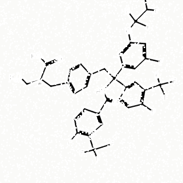 CC[C@H](Cc1ccc(CC(NC(=O)c2ccc(F)c(C(F)(F)F)c2)(c2cc(F)cc(OC(F)(F)C(F)F)c2)c2ccc(F)c(C(F)(F)F)c2)cc1)C(=O)O